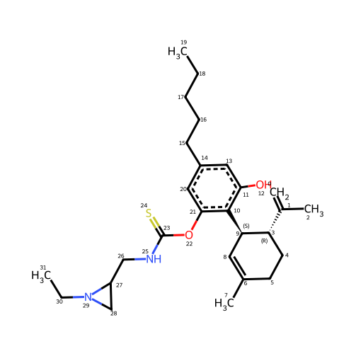 C=C(C)[C@@H]1CCC(C)=C[C@H]1c1c(O)cc(CCCCC)cc1OC(=S)NCC1CN1CC